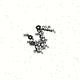 CC(C)[C@H](NC(=O)[C@@H](NC(=O)[C@H](CCC(N)=O)NC(=O)[C@H](Cc1ccc(O)cc1)N[N+](=O)[O-])[C@@H](C)O)C(=O)NCC(=O)N[C@@H](Cc1ccccc1)C(=O)N[C@@H](CCCCN)C(=O)O